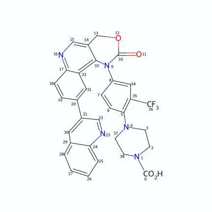 O=C(O)N1CCN(c2ccc(N3C(=O)OCc4cnc5ccc(-c6cnc7ccccc7c6)cc5c43)cc2C(F)(F)F)CC1